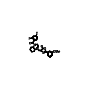 COc1cccc(C2=NC(=CN3CCN(C(=O)c4ccc(F)cc4F)C4CCCCC43)C(=O)O2)c1